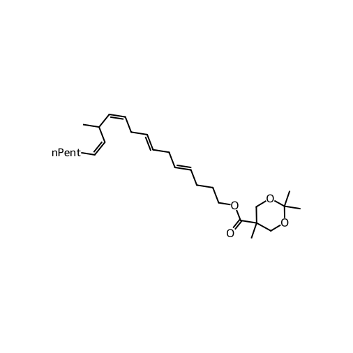 CCCCC/C=C\C(C)/C=C\CC=CCC=CCCCOC(=O)C1(C)COC(C)(C)OC1